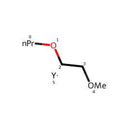 CCCOCCOC.[Y]